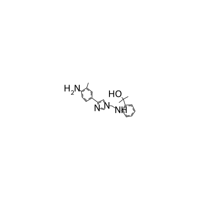 Cc1cc(-c2cn(CNc3ccccc3C(C)(C)O)cn2)ccc1N